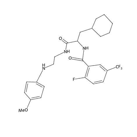 COc1ccc(NCCNC(=O)C(CC2CCCCC2)NC(=O)c2cc(C(F)(F)F)ccc2F)cc1